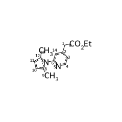 CCOC(=O)Cc1ccnc(-n2c(C)ccc2C)c1